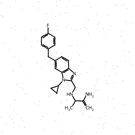 C=C(N)C(C)NCc1nc2ccc(Cc3ccc(F)cc3)cc2n1C1CC1